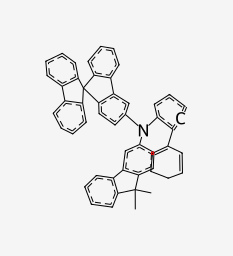 CC1(C)c2ccccc2-c2cc(N(c3ccc4c(c3)-c3ccccc3C43c4ccccc4-c4ccccc43)c3ccccc3C3=CCCC=C3)ccc21